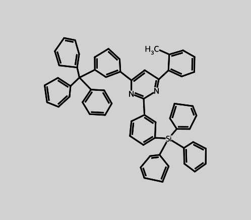 Cc1ccccc1-c1cc(-c2cccc(C(c3ccccc3)(c3ccccc3)c3ccccc3)c2)nc(-c2cccc([Si](c3ccccc3)(c3ccccc3)c3ccccc3)c2)n1